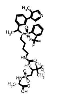 Cc1cnccc1-c1cccc(C(C)N(CCCCNC(=O)NC(CS(=O)(=O)N[C@@H](C)C(=O)O)C(C)(C)C)S(=O)(=O)c2ccccc2C(F)(F)F)c1